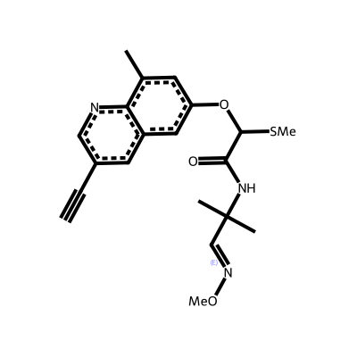 C#Cc1cnc2c(C)cc(OC(SC)C(=O)NC(C)(C)/C=N/OC)cc2c1